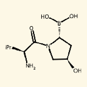 CC(C)[C@H](N)C(=O)N1C[C@H](O)C[C@H]1B(O)O